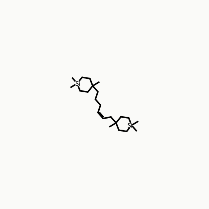 CC1(C/C=C\CCCC2(C)CC[Si](C)(C)CC2)CC[Si](C)(C)CC1